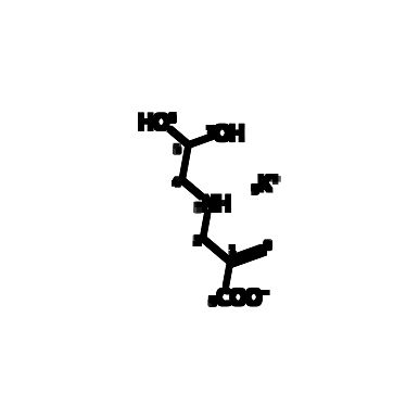 C=C(CNCC(O)O)C(=O)[O-].[K+]